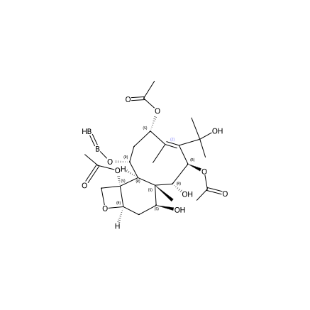 B=BO[C@@H]1C[C@H](OC(C)=O)/C(C)=C(\C(C)(C)O)[C@@H](OC(C)=O)[C@H](O)[C@@]2(C)[C@H]1[C@]1(OC(C)=O)CO[C@@H]1C[C@@H]2O